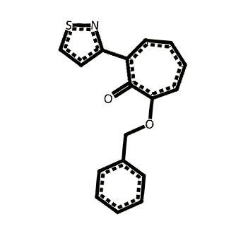 O=c1c(OCc2ccccc2)ccccc1-c1ccsn1